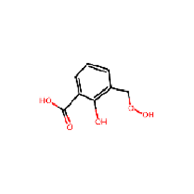 O=C(O)c1cccc(COO)c1O